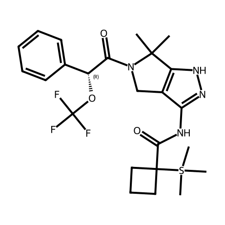 CC1(C)c2[nH]nc(NC(=O)C3(S(C)(C)C)CCC3)c2CN1C(=O)[C@H](OC(F)(F)F)c1ccccc1